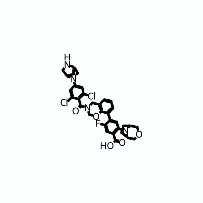 O=C(O)c1cc(F)c(-c2cccc3c2OCN(C(=O)c2c(Cl)cc(N4CC5CC4CN5)cc2Cl)C3)cc1N1C2CCC1COC2